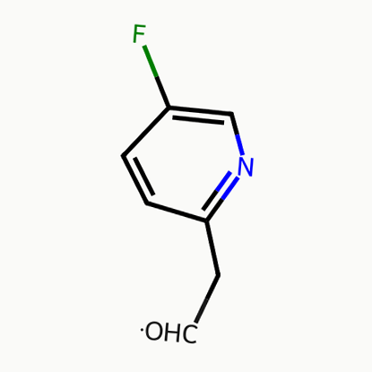 O=[C]Cc1ccc(F)cn1